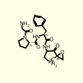 CC(C)CC(NC(=O)[C@H](Cc1ccccc1)NC(=O)[C@@H]1CCCN1C(=O)CN)C(=O)[C@@]1(C)CO1